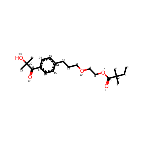 CCC(C)(C)C(=O)OCCOCCCc1ccc(C(=O)C(C)(C)O)cc1